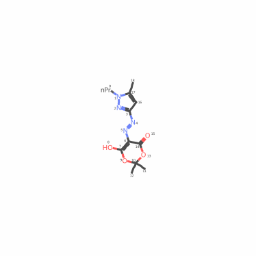 CCCn1nc(N=NC2=C(O)OC(C)(C)OC2=O)cc1C